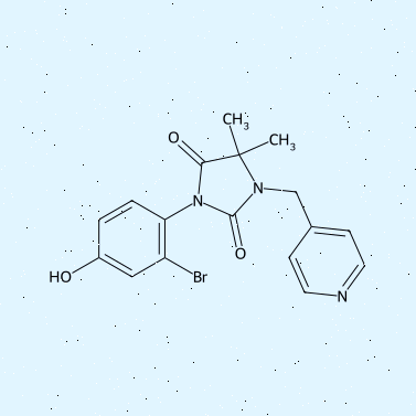 CC1(C)C(=O)N(c2ccc(O)cc2Br)C(=O)N1Cc1ccncc1